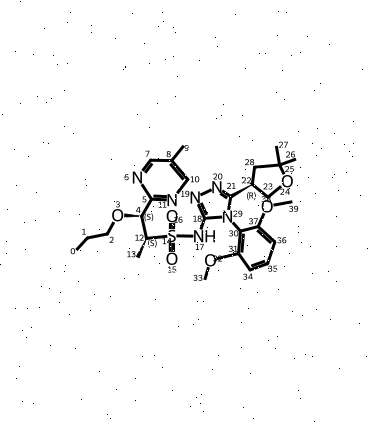 CCCO[C@@H](c1ncc(C)cn1)[C@H](C)S(=O)(=O)Nc1nnc([C@@H]2COC(C)(C)C2)n1-c1c(OC)cccc1OC